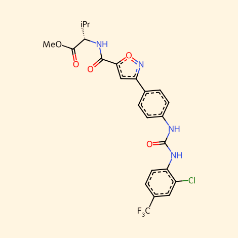 COC(=O)[C@@H](NC(=O)c1cc(-c2ccc(NC(=O)Nc3ccc(C(F)(F)F)cc3Cl)cc2)no1)C(C)C